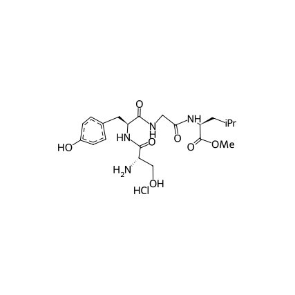 COC(=O)[C@H](CC(C)C)NC(=O)CNC(=O)[C@H](Cc1ccc(O)cc1)NC(=O)[C@@H](N)CO.Cl